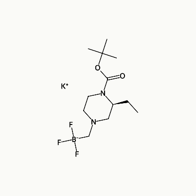 CC[C@H]1CN(C[B-](F)(F)F)CCN1C(=O)OC(C)(C)C.[K+]